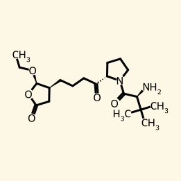 CCO[C@@H]1OC(=O)C[C@@H]1CCCC(=O)[C@@H]1CCCN1C(=O)[C@@H](N)C(C)(C)C